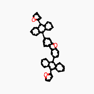 c1coc(-c2c3ccccc3c(-c3ccc4c(c3)oc3ccc(-c5c6ccccc6c(-c6ccco6)c6ccccc56)cc34)c3ccccc23)c1